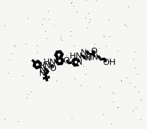 Cc1ccc(-n2nc(C(C)(C)C)cc2NC(=O)Nc2ccc(OCc3ccnc(Nc4cnc(C(=O)NCCCO)cn4)c3)c3ccccc23)cc1